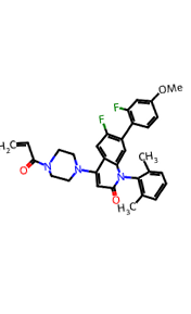 C=CC(=O)N1CCN(c2cc(=O)n(-c3c(C)cccc3C)c3cc(-c4ccc(OC)cc4F)c(F)cc23)CC1